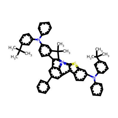 CC(C)(C)c1cccc(N(c2ccccc2)c2ccc3c(c2)C(C)(C)c2c-3c3cc(-c4ccccc4)cc4c5c6ccc(N(c7ccccc7)c7cccc(C(C)(C)C)c7)cc6sc5n2c34)c1